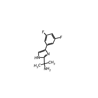 CC(C)(N)c1nc(-c2cc(F)cc(F)c2)c[nH]1